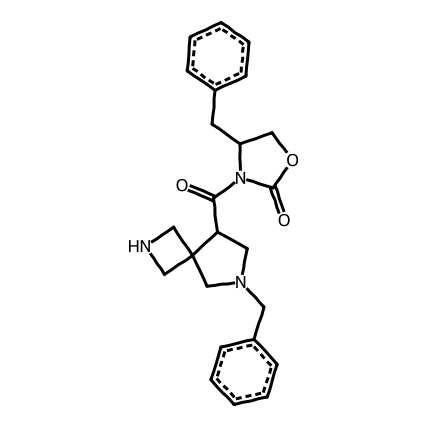 O=C1OCC(Cc2ccccc2)N1C(=O)C1CN(Cc2ccccc2)CC12CNC2